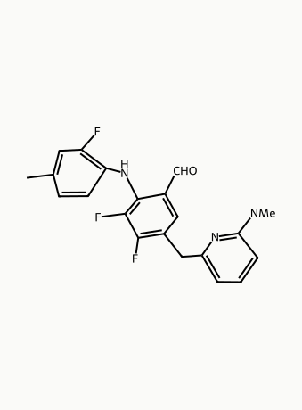 CNc1cccc(Cc2cc(C=O)c(Nc3ccc(C)cc3F)c(F)c2F)n1